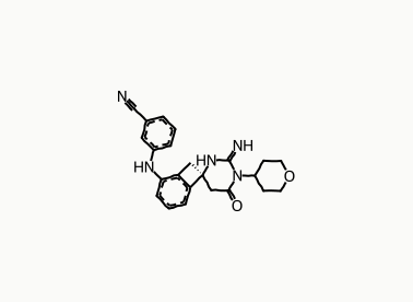 N#Cc1cccc(Nc2cccc3c2C[C@]32CC(=O)N(C3CCOCC3)C(=N)N2)c1